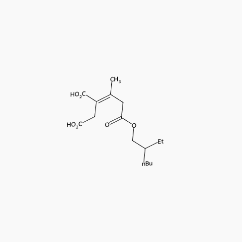 CCCCC(CC)COC(=O)CC(C)=C(CC(=O)O)C(=O)O